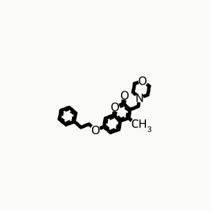 Cc1c(CN2CCOCC2)c(=O)oc2cc(OCCc3ccccc3)ccc12